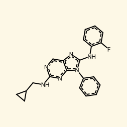 Fc1ccccc1Nc1nc2cnc(NCC3CC3)nc2n1-c1ccccc1